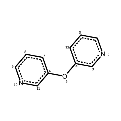 c1cncc(Oc2cccnc2)c1